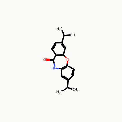 CC(C)C1=CC2Oc3ccc(C(C)C)cc3NC(=O)C2C=C1